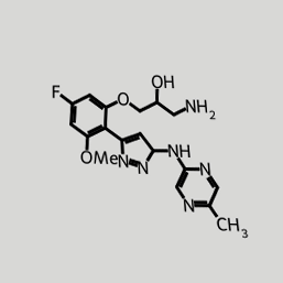 COc1cc(F)cc(OCC(O)CN)c1C1=CC(Nc2cnc(C)cn2)N=N1